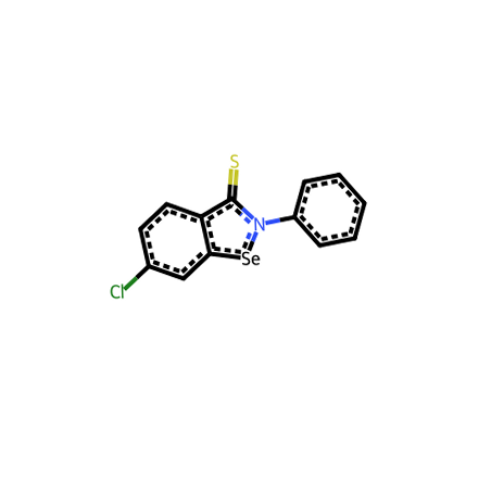 S=c1c2ccc(Cl)cc2[se]n1-c1ccccc1